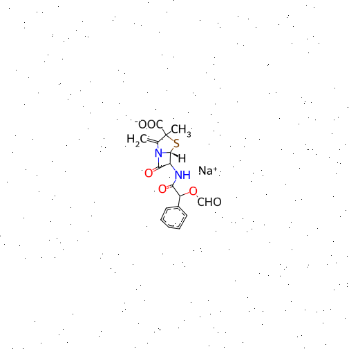 C=C1N2C(=O)C(NC(=O)C(OC=O)c3ccccc3)[C@H]2SC1(C)C(=O)[O-].[Na+]